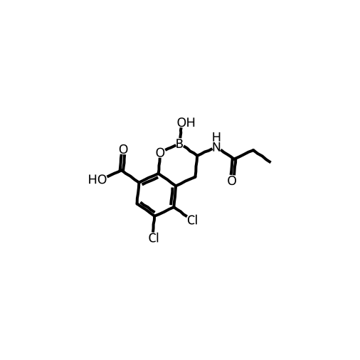 CCC(=O)NC1Cc2c(Cl)c(Cl)cc(C(=O)O)c2OB1O